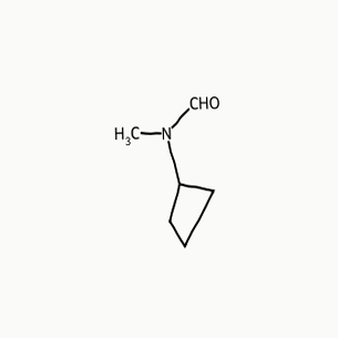 CN(C=O)C1CCC1